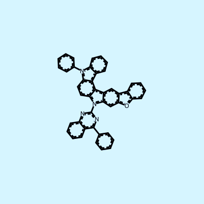 c1ccc(-c2nc(-n3c4cc5oc6ccccc6c5cc4c4c5c6ccccc6n(-c6ccccc6)c5ccc43)nc3ccccc23)cc1